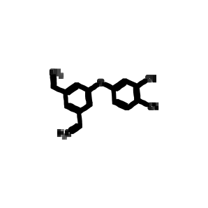 C=Cc1cc(C=C)cc(Oc2ccc(C#N)c(C#N)c2)c1